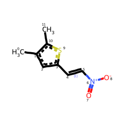 Cc1cc(/C=C/[N+](=O)[O-])sc1C